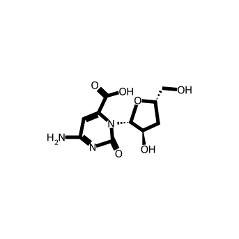 Nc1cc(C(=O)O)n([C@@H]2O[C@H](CO)C[C@H]2O)c(=O)n1